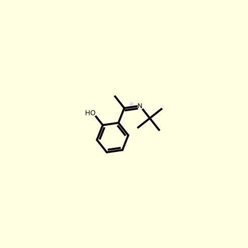 C/C(=N/C(C)(C)C)c1ccccc1O